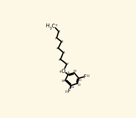 CCCCCCCCOc1cc(F)cc(F)c1